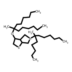 CCCCCCC(C)(CCCCCC)OC1CSC2CN(C(C)(CCCCC)CCCCCC)CC12